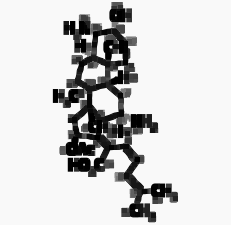 CC(=O)O[C@H]1C[C@@]2(C)[C@H](/C1=C(\C=C/C=C(C)C)C(=O)O)[C@@H](N)C[C@H]1[C@@]3(C)CC[C@@H](O)[C@@H](N)[C@@H]3CC[C@@]12C